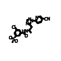 CC(Cc1ncnn1-c1ccc(C#N)cn1)NC(=O)c1cc(Cl)cc(S(C)(=O)=O)c1